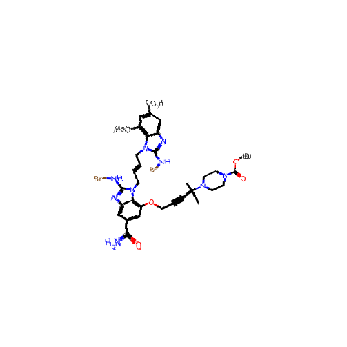 COc1cc(C(=O)O)cc2nc(NBr)n(CC=CCn3c(NBr)nc4cc(C(N)=O)cc(OCC#CC(C)(C)N5CCN(C(=O)OC(C)(C)C)CC5)c43)c12